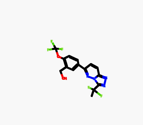 CC(F)(F)c1nnc2ccc(-c3ccc(OC(F)(F)F)c(CO)c3)nn12